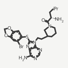 CC(C)C[C@H](N)C(=O)N1CCCC(CCn2c(Sc3cc4c(cc3Br)OCO4)nc3c(N)ncnc32)C1